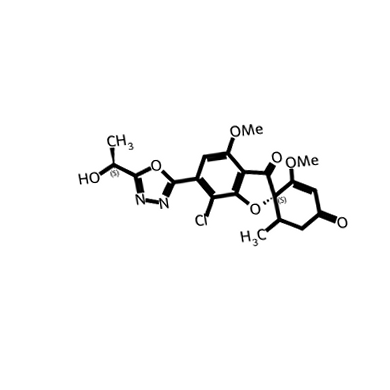 COC1=CC(=O)CC(C)[C@]12Oc1c(Cl)c(-c3nnc([C@H](C)O)o3)cc(OC)c1C2=O